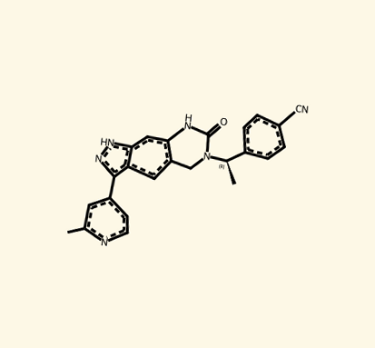 Cc1cc(-c2n[nH]c3cc4c(cc23)CN([C@H](C)c2ccc(C#N)cc2)C(=O)N4)ccn1